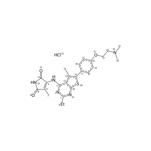 CCc1nc(NC2=C(C)C(=O)NC2=O)c2c(C)c(-c3ccc(OCCN(C)C)cc3)sc2n1.Cl